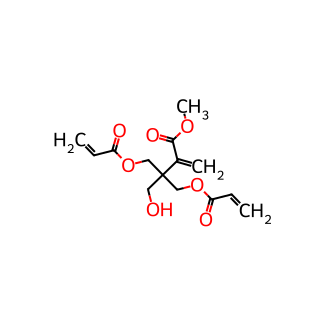 C=CC(=O)OCC(CO)(COC(=O)C=C)C(=C)C(=O)OC